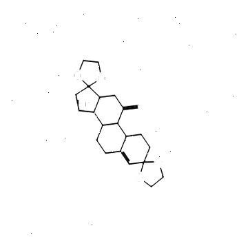 C=C1C[C@@]2(CC)C(CCC23OCCO3)C2CCC3=CC4(CCC3C12)OCCO4